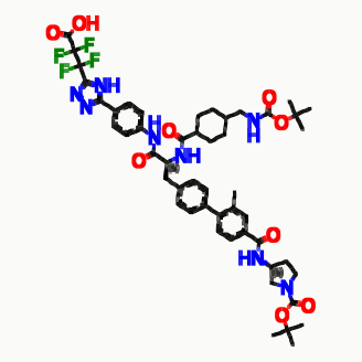 Cc1cc(C(=O)N[C@H]2CCN(C(=O)OC(C)(C)C)C2)ccc1-c1ccc(C[C@H](NC(=O)C2CCC(CNC(=O)OC(C)(C)C)CC2)C(=O)Nc2ccc(-c3nnc(C(F)(F)C(F)(F)C(=O)O)[nH]3)cc2)cc1